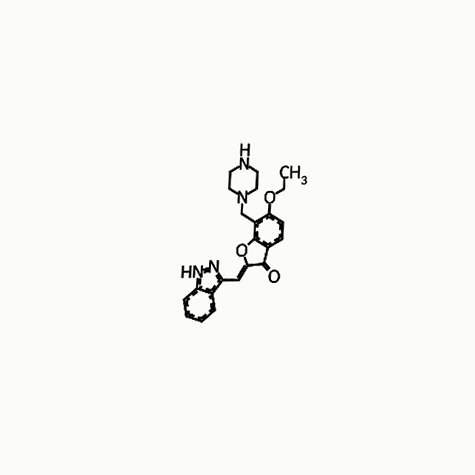 CCOc1ccc2c(c1CN1CCNCC1)O/C(=C\c1n[nH]c3ccccc13)C2=O